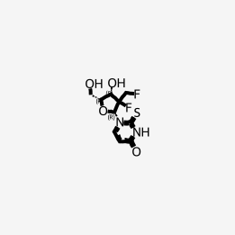 O=c1ccn([C@@H]2O[C@H](CO)[C@H](O)C2(F)CF)c(=S)[nH]1